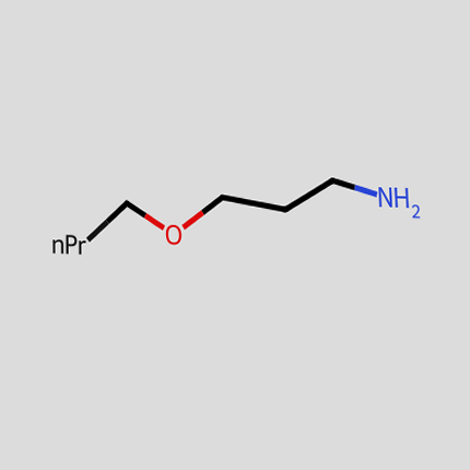 CCCCOCCCN